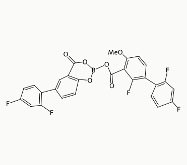 COc1ccc(-c2ccc(F)cc2F)c(F)c1C(=O)OB1OC(=O)c2cc(-c3ccc(F)cc3F)ccc2O1